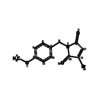 COc1ccc(CN2C(=O)C=C(Br)C2=O)cc1